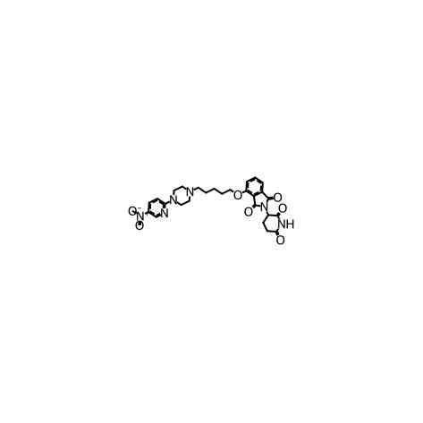 O=C1CCC(N2C(=O)c3cccc(OCCCCCN4CCN(c5ccc([N+](=O)[O-])cn5)CC4)c3C2=O)C(=O)N1